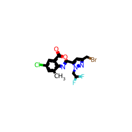 Cc1cc(Cl)cc2c(=O)oc(-c3cc(CBr)nn3CC(F)F)nc12